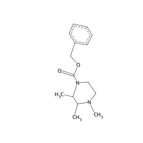 CC1C(C)N(C(=O)OCc2ccccc2)CCN1C